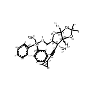 CC1(C)O[C@H]2O[C@H](CO[Si](c3ccccc3)(c3ccccc3)C(C)(C)C)[C@](O)(C#CC3CC3)[C@H]2O1